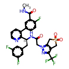 CNC(=O)c1cc(-c2cccnc2[C@H](Cc2cc(F)cc(F)c2)NC(=O)Cn2nc(C(F)(F)F)c3c2CS(=O)(=O)C3)ccc1F